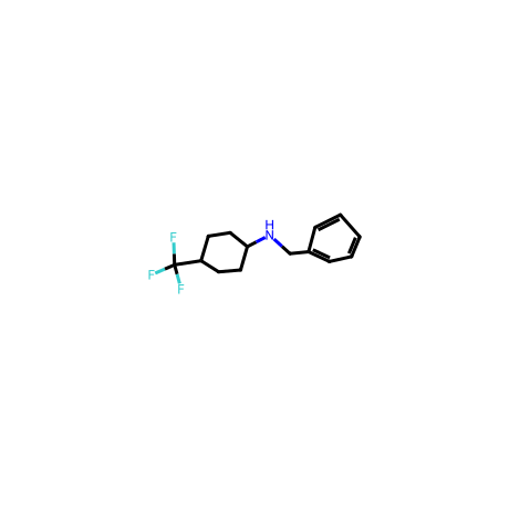 FC(F)(F)C1CCC(NCc2ccccc2)CC1